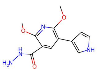 COc1nc(OC)c(-c2cc[nH]c2)cc1C(=O)NN